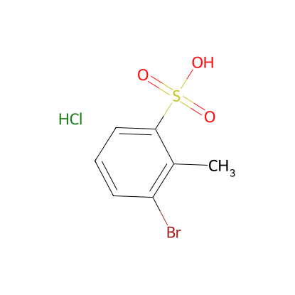 Cc1c(Br)cccc1S(=O)(=O)O.Cl